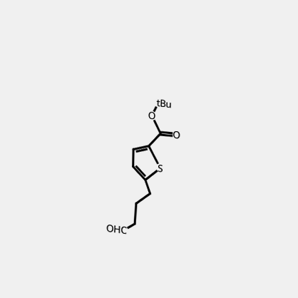 CC(C)(C)OC(=O)c1ccc(CCCC=O)s1